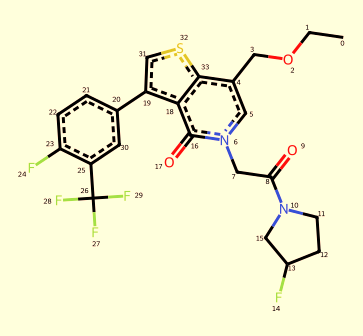 CCOCc1cn(CC(=O)N2CCC(F)C2)c(=O)c2c(-c3ccc(F)c(C(F)(F)F)c3)csc12